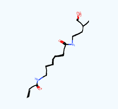 C=CC(=O)NCCCCCC(=O)NCCC(C)CO